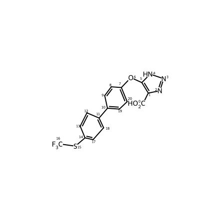 O=C(O)c1nn[nH]c1Oc1ccc(-c2ccc(SC(F)(F)F)cc2)cc1